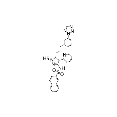 O=S(=O)(Nc1nn(S)c(CCCc2cccc(-n3ncnn3)c2)c1-c1ccccn1)c1ccc2ccccc2c1